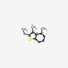 CCc1sc2cccc(C)c2c1C